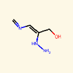 C=N/C=C(/CO)NN